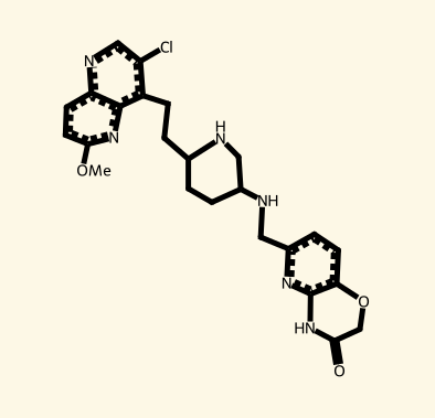 COc1ccc2ncc(Cl)c(CCC3CCC(NCc4ccc5c(n4)NC(=O)CO5)CN3)c2n1